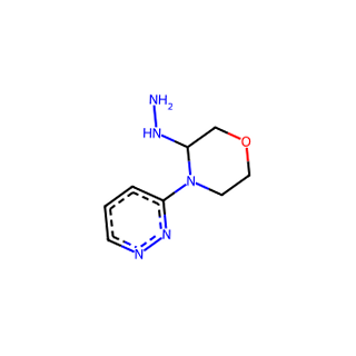 NNC1COCCN1c1cccnn1